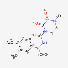 CCN1CCN(C(=O)NC([C]=O)c2ccc(OC(C)=O)c(OC(C)=O)c2)C(=O)C1=O